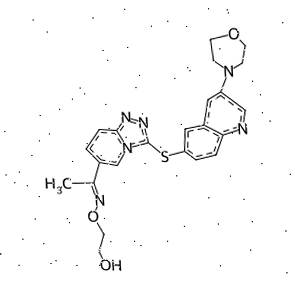 CC(=NOCCO)c1ccc2nnc(Sc3ccc4ncc(N5CCOCC5)cc4c3)n2c1